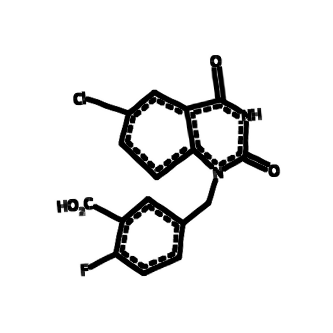 O=C(O)c1cc(Cn2c(=O)[nH]c(=O)c3cc(Cl)ccc32)ccc1F